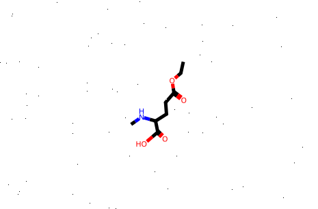 CCOC(=O)CCC(NC)C(=O)O